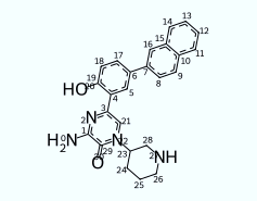 Nc1nc(-c2cc(-c3ccc4ccccc4c3)ccc2O)cn(C2CCCNC2)c1=O